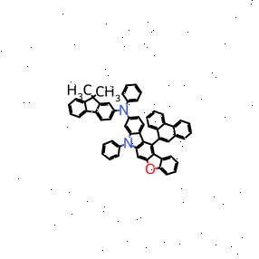 CC1(C)c2ccccc2-c2ccc(N(c3ccccc3)c3ccc4c5c(-c6cc7ccccc7c7ccccc67)c6c(cc5n(-c5ccccc5)c4c3)oc3ccccc36)cc21